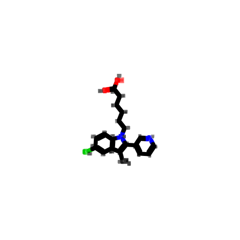 Cc1c(-c2cccnc2)n(CCCCCC(=O)O)c2ccc(Cl)cc12